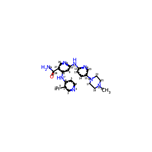 CC(C)c1cnccc1Nc1cc(Nc2ccc(N3CCN(C)CC3)cn2)ncc1C(N)=O